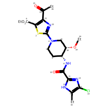 CCOC(=O)c1sc(N2CC[C@@H](NC(=O)c3nc(Cl)c(CC)[nH]3)[C@@H](OCC)C2)nc1C(=O)CC